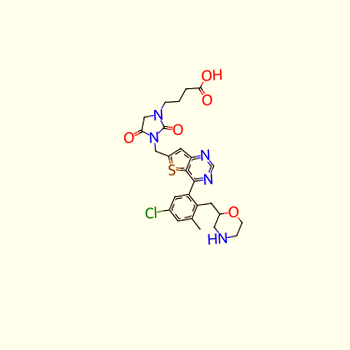 Cc1cc(Cl)cc(-c2ncnc3cc(CN4C(=O)CN(CCCC(=O)O)C4=O)sc23)c1CC1CNCCO1